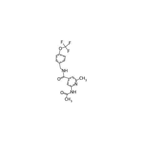 CC(=O)Nc1cc(C(=O)NCc2ccc(OC(F)(F)F)cc2)cc(C)n1